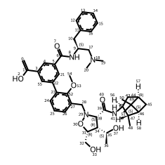 C=C(O)c1cc(C(=O)N[C@@H](Cc2ccccc2)CN(C)C)cc(-c2cccc(CN3O[C@@H](CO)[C@@H]([C@H](C)O)[C@H]3C(=O)N[C@H]3C[C@H]4C[C@@H]([C@@H]3C)C4(C)C)c2OC)c1